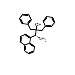 N[C@H](c1cccc2ccccc12)C(O)(Cc1ccccc1)Cc1ccccc1